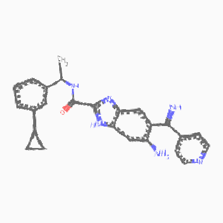 CC(NC(=O)c1nc2cc(C(=N)c3ccncc3)c(N)cc2[nH]1)c1cccc(C2CC2)c1